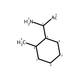 CC(=O)C(N)C1CCCCC1C